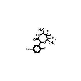 CC1NC(=O)C(c2cc(Br)ccc2F)OC(C)(C)C1(F)F